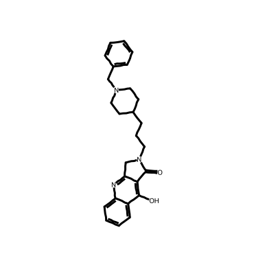 O=C1c2c(nc3ccccc3c2O)CN1CCCC1CCN(Cc2ccccc2)CC1